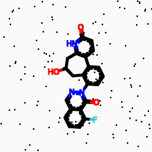 O=c1ccc2c([nH]1)CC(O)Cc1c-2cccc1-n1ncc2cccc(F)c2c1=O